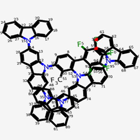 Fc1c(F)c(F)c(-c2ccc(-n3c4cc(-n5c6ccccc6c6ccccc65)ccc4c4ccc(-n5c6ccccc6c6ccccc65)cc43)c(C(F)(F)F)c2-n2c3cc(-n4c5ccccc5c5ccccc54)ccc3c3ccc(-n4c5ccccc5c5ccccc54)cc32)c(F)c1F